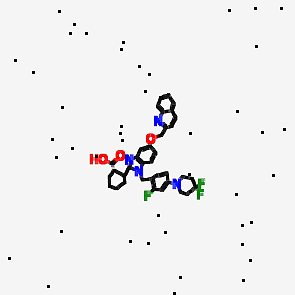 O=C(O)[C@H]1CCCCC1c1nc2cc(OCc3ccc4ccccc4n3)ccc2n1Cc1ccc(N2CCC(F)(F)CC2)cc1F